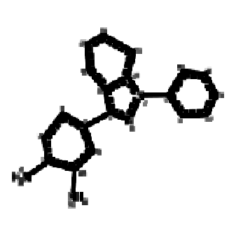 Nc1ccc(-c2nn(-c3ccccc3)c3ccccc23)cc1N